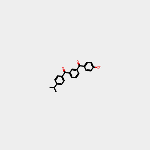 CC(C)c1ccc(C(=O)c2cccc(C(=O)c3ccc(O)cc3)c2)cc1